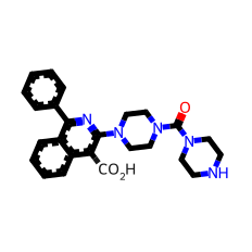 O=C(O)c1c(N2CCN(C(=O)N3CCNCC3)CC2)nc(-c2ccccc2)c2ccccc12